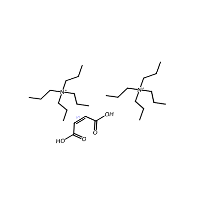 CCC[N+](CCC)(CCC)CCC.CCC[N+](CCC)(CCC)CCC.O=C(O)/C=C\C(=O)O